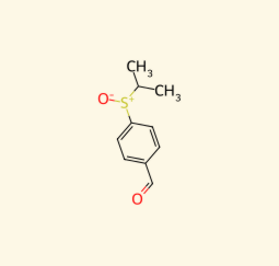 CC(C)[S+]([O-])c1ccc(C=O)cc1